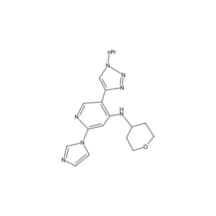 CCCn1cc(-c2cnc(-n3ccnc3)cc2NC2CCOCC2)nn1